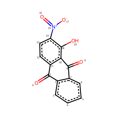 O=C1c2ccccc2C(=O)c2c1ccc([N+](=O)[O-])c2O